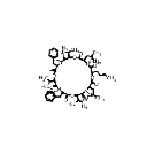 CCCCC1OC(=O)C(CC(C)C)N(C)C(=O)C(C(C)C)OC(=O)C(Cc2ccccc2)N(C)C(=O)C(C(C)C)OC(=O)C(Cc2ccccc2)N(C)C(=O)C(C(C)C)OC(=O)C(CC(C)C)N(C)C1=O